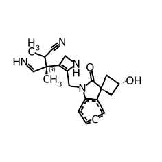 CC(C#N)[C@@](C)(C=N)C1=C(CN2c3ccccc3[C@]3(C[C@@H](O)C3)C2=O)NC1